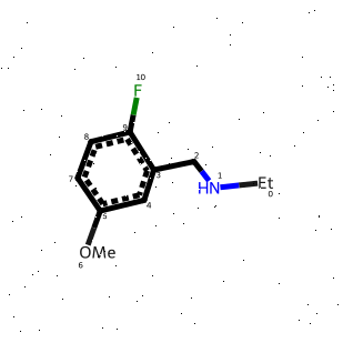 CCNCc1cc(OC)ccc1F